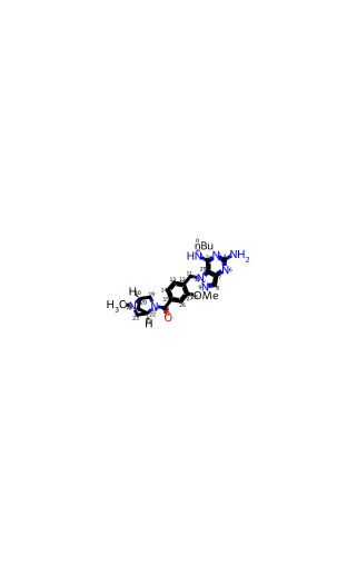 CCCCNc1nc(N)nc2cnn(Cc3ccc(C(=O)N4C[C@H]5C[C@@H]4CN5C)cc3OC)c12